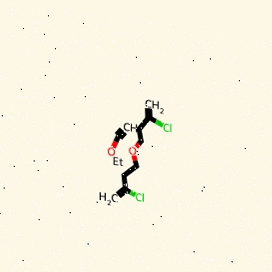 C#COCC.C=C(Cl)CCOCCC(=C)Cl